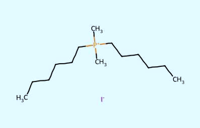 CCCCCC[P+](C)(C)CCCCCC.[I-]